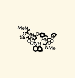 CN[C@@H](C)C(=O)N[C@@H](Cc1ccc(O[C@H]2C[C@@H](C(=O)N[C@@H]3CCCc4ccccc43)N(C(=O)[C@@H](NC(=O)[C@H](C)NC)C(C)(C)C)C2)cc1)C(=O)N1CCCC1